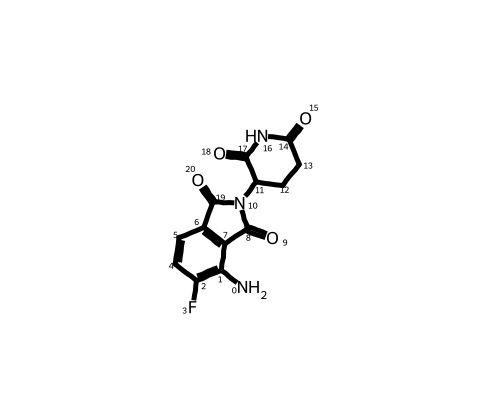 Nc1c(F)ccc2c1C(=O)N(C1CCC(=O)NC1=O)C2=O